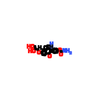 CC1(C)c2cc(OCC(O)CO)ccc2C(=O)c2c1[nH]c1cc(OC(N)=O)ccc21